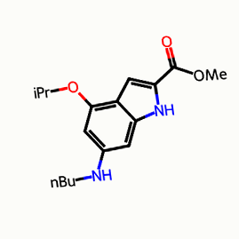 CCCCNc1cc(OC(C)C)c2cc(C(=O)OC)[nH]c2c1